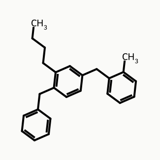 CCCCc1cc(Cc2ccccc2C)ccc1Cc1ccccc1